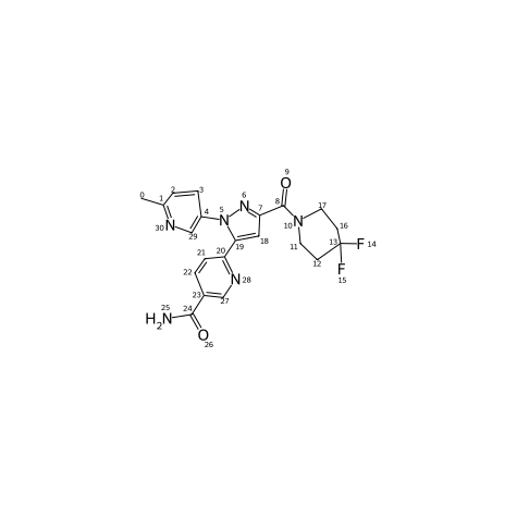 Cc1ccc(-n2nc(C(=O)N3CCC(F)(F)CC3)cc2-c2ccc(C(N)=O)cn2)cn1